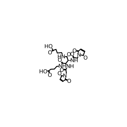 O=C(O)CCCNC(=O)[C@@H](NC(=O)CN1C(=O)C=CC1=O)[C@@H](NC(=O)CN1C(=O)C=CC1=O)C(=O)NCCCC(=O)O